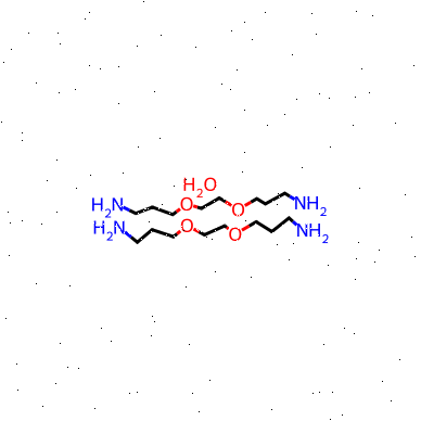 NCCCOCCOCCCN.NCCCOCCOCCCN.O